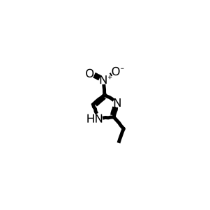 CCc1nc([N+](=O)[O-])c[nH]1